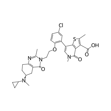 Cc1sc2c(-c3cc(Cl)ccc3OCCn3c(C)nc4c(c3=O)C[C@@H](N(C)C3CC3)CC4)cn(C)c(=O)c2c1C(=O)O